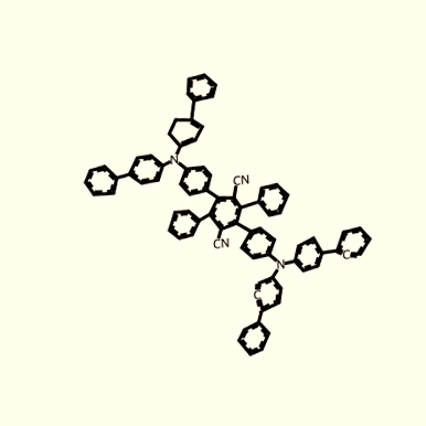 N#Cc1c(-c2ccccc2)c(-c2ccc(N(c3ccc(-c4ccccc4)cc3)c3ccc(-c4ccccc4)cc3)cc2)c(C#N)c(-c2ccccc2)c1-c1ccc(N(C2=CC=C(c3ccccc3)CC2)c2ccc(-c3ccccc3)cc2)cc1